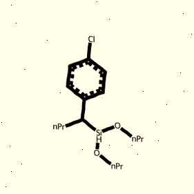 CCCO[SiH](OCCC)C(CCC)c1ccc(Cl)cc1